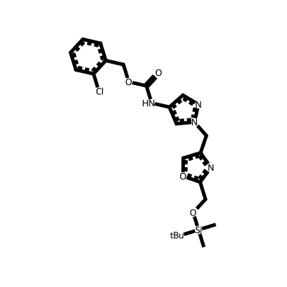 CC(C)(C)[Si](C)(C)OCc1nc(Cn2cc(NC(=O)OCc3ccccc3Cl)cn2)co1